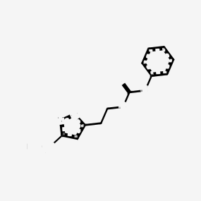 CCOC(=O)c1cc(CCOC(=S)Oc2ccccc2)on1